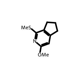 COc1cc2c(c(SC)n1)CCC2